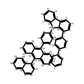 c1ccc(-c2ccc(-c3cccc4c5ccccc5n(-c5ccc(-c6c7ccccc7c(-c7cccc8ccccc78)c7ccccc67)cc5)c34)cc2)cc1